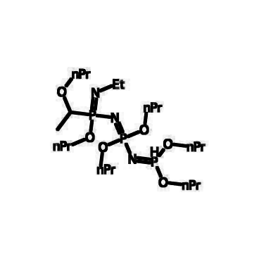 CCCOC(C)P(N=P(N=[PH](OCCC)OCCC)(OCCC)OCCC)(=NCC)OCCC